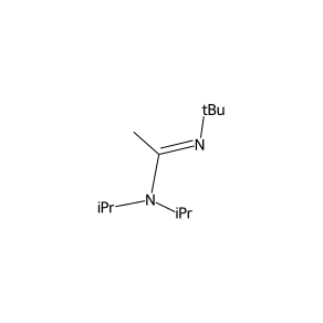 C/C(=N\C(C)(C)C)N(C(C)C)C(C)C